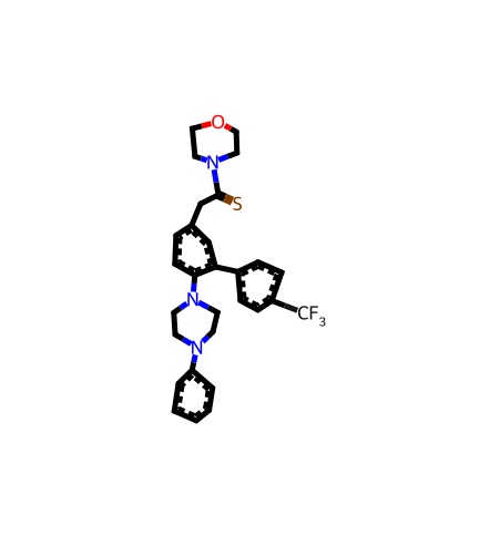 FC(F)(F)c1ccc(-c2cc(CC(=S)N3CCOCC3)ccc2N2CCN(c3ccccc3)CC2)cc1